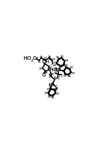 CC(C)(C[C@H](/C=C/[C@H]1C(=O)C[C@H](O)[C@@H]1C/C=C\CCCC(=O)O)c1nc2ccccc2s1)[Si](O)(c1ccccc1)c1ccccc1